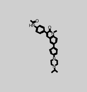 CC(=O)Nc1ccc(-c2cc3cc(-c4ccc(N5CCN(C(C)C)CC5)cc4)ccc3n(C)c2=O)cc1